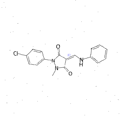 CN1C(=O)/C(=C\Nc2ccccc2)C(=O)N1c1ccc(Cl)cc1